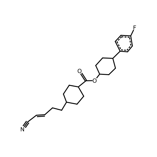 N#C/C=C/CCC1CCC(C(=O)OC2CCC(c3ccc(F)cc3)CC2)CC1